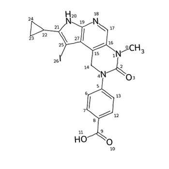 CN1C(=O)N(c2ccc(C(=O)O)cc2)Cc2c1cnc1[nH]c(C3CC3)c(I)c21